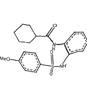 COc1ccc(S(=O)(=O)Nc2ccccc2NC(=O)C2CCCCC2)cc1